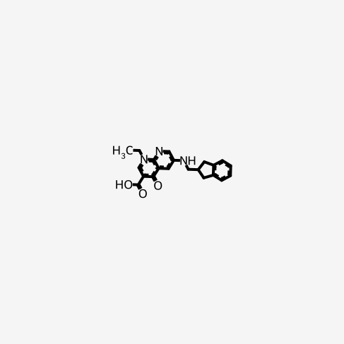 CCn1cc(C(=O)O)c(=O)c2cc(NCC3Cc4ccccc4C3)cnc21